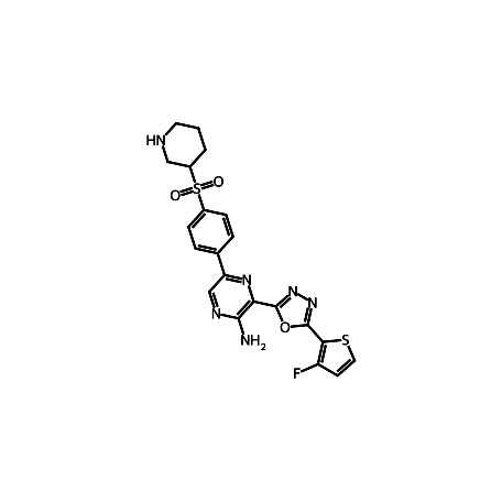 Nc1ncc(-c2ccc(S(=O)(=O)C3CCCNC3)cc2)nc1-c1nnc(-c2sccc2F)o1